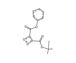 CC(C)(C)OC(=O)c1ooc1C(=O)Oc1ccccc1